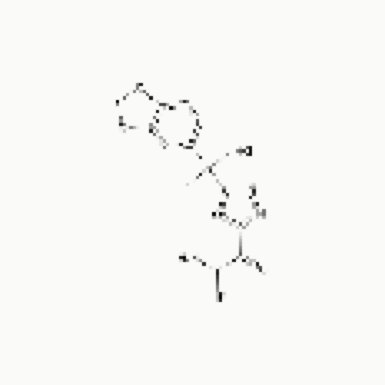 CC(C)C(N)C(=O)c1nnc(C(C)(C)c2ccc3c(c2)OCO3)o1.Cl